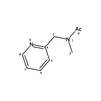 CC(=O)N(C)Cc1ccc[c]n1